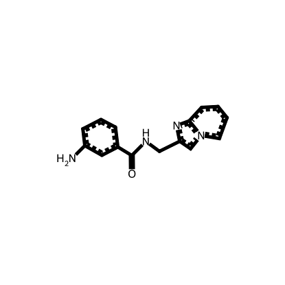 Nc1cccc(C(=O)NCc2cn3ccccc3n2)c1